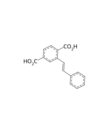 O=C(O)c1ccc(C(=O)O)c(C=Cc2ccccc2)c1